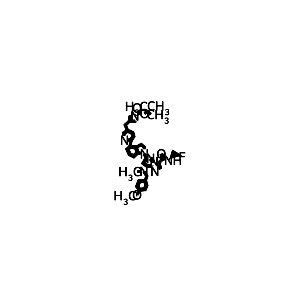 COc1ccc(CN(C)c2cc(N3CCc4c(-c5ccc(CC6CN(C(=O)OC(C)(C)C)C6)cn5)cccc43)nn3c(C(=O)N[C@@H]4C[C@@H]4F)cnc23)cc1